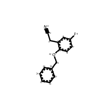 N#CCc1cc(F)ccc1OCc1ccccc1